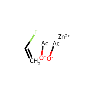 C=CF.CC(=O)[O-].CC(=O)[O-].[Zn+2]